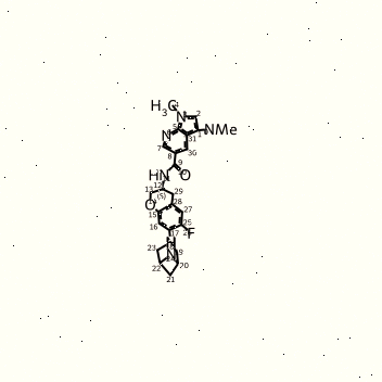 CNc1cn(C)c2ncc(C(=O)N[C@@H]3COc4cc(N5CC6CC(C5)N6)c(F)cc4C3)cc12